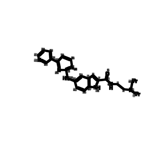 CC(C)N(CCNC(=O)c1cc2cc(Nc3nccc(-c4cccnc4)n3)ccc2[nH]1)C(C)C